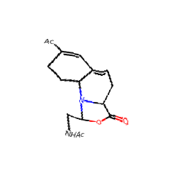 CC(=O)NCC1OC(=O)C2CC=C3C=C(C(C)=O)CCC3N12